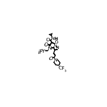 CC(C)Cn1c(=O)c(C(=O)NC2CC2)c(O)n2ncc(C=CC(=O)N3CCC(C(F)(F)F)CC3)c12